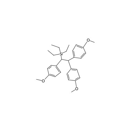 CC[Si](CC)(CC)C(c1ccc(OC)cc1)C(c1ccc(OC)cc1)c1ccc(OC)cc1